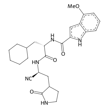 COc1cccc2[nH]c(C(=O)N[C@@H](CC3CCCCC3)C(=O)N[C@H](C#N)CC3CCNC3=O)cc12